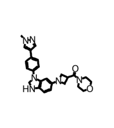 Cn1cc(-c2ccc(N3CNc4ccc(N5CC(C(=O)N6CCOCC6)C5)cc43)cc2)cn1